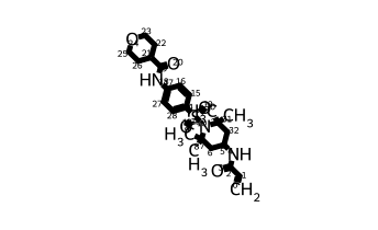 C=CC(=O)NC1CC(C)(C)N(S(=O)(=O)c2ccc(NC(=O)C3CCOCC3)cc2)C(C)(C)C1